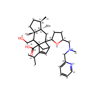 CC(C)C1=CC2CC3(CO)[C@@H]4CC[C@@H](C)[C@H]4CC2(C2CCC(CN(C)Cc4ccccn4)O2)C13C(=O)O